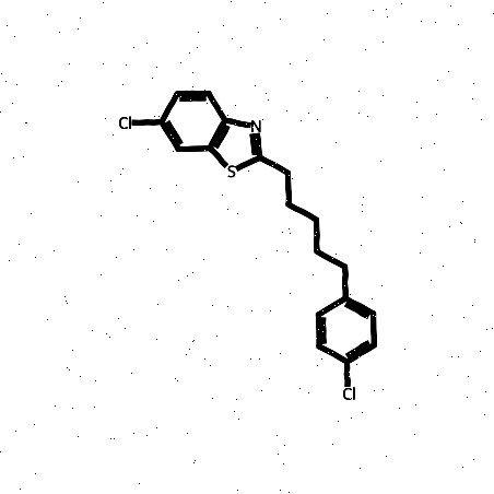 Clc1ccc(CCCCCc2nc3ccc(Cl)cc3s2)cc1